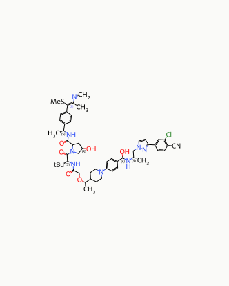 C=N/C(C)=C(\SC)c1ccc([C@H](C)NC(=O)C2C[C@@H](O)CN2C(=O)[C@@H](NC(=O)COC(C)C2CCN(c3ccc([C@@H](O)N[C@@H](C)Cn4ccc(-c5ccc(C#N)c(Cl)c5)n4)cc3)CC2)C(C)(C)C)cc1